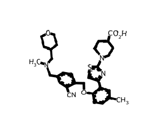 Cc1ccc(OCc2ccc(CN(C)CC3CCOCC3)cc2C#N)c(-c2csc(N3CCC(C(=O)O)CC3)n2)c1